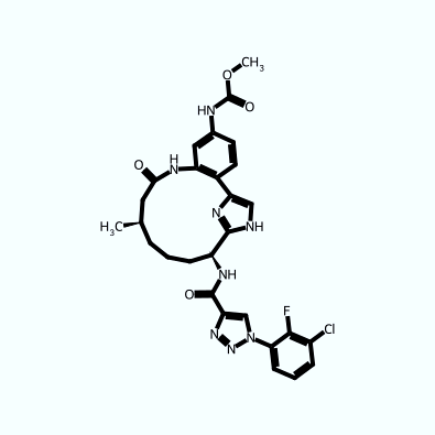 COC(=O)Nc1ccc2c(c1)NC(=O)C[C@H](C)CCC[C@H](NC(=O)c1cn(-c3cccc(Cl)c3F)nn1)c1nc-2c[nH]1